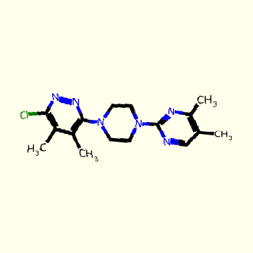 Cc1cnc(N2CCN(c3nnc(Cl)c(C)c3C)CC2)nc1C